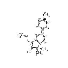 C=CCN1C(=O)C(C)(C)c2ccc(-c3cnc(C)nc3)cc21